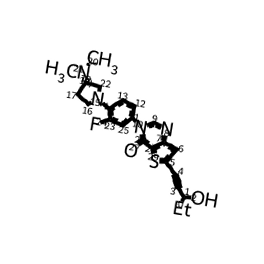 CCC(O)C#Cc1cc2ncn(-c3ccc(N4CC[C@@H](N(C)C)C4)c(F)c3)c(=O)c2s1